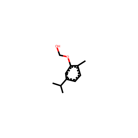 Cc1ccc(C(C)C)cc1OCO